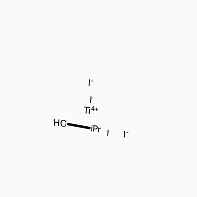 CC(C)O.[I-].[I-].[I-].[I-].[Ti+4]